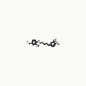 COc1ccc(CCCCCOc2ccc(C=O)cc2Br)cc1Cl